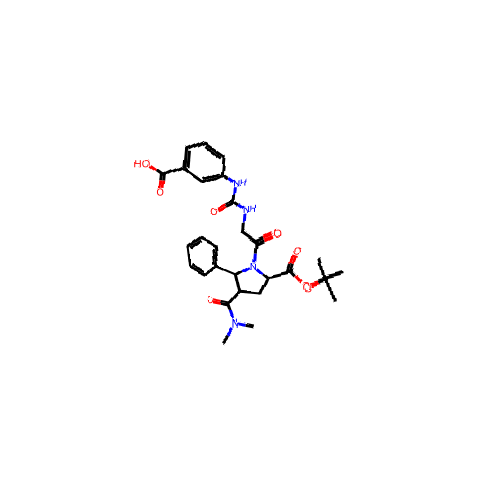 CN(C)C(=O)C1CC(C(=O)OC(C)(C)C)N(C(=O)CNC(=O)Nc2cccc(C(=O)O)c2)C1c1ccccc1